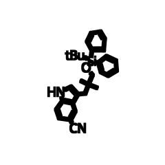 CC(C)(CO[Si](c1ccccc1)(c1ccccc1)C(C)(C)C)Cc1c[nH]c2ccc(C#N)cc12